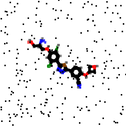 N#Cc1cc(-c2nnc(-c3cc(F)c(OC[C@H](N)CO)cc3Cl)s2)ccc1OC1COC1